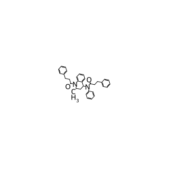 CC1CC(N(C(=O)CCc2ccccc2)c2ccccc2)c2ccccc2N1C(=O)CCc1ccccc1